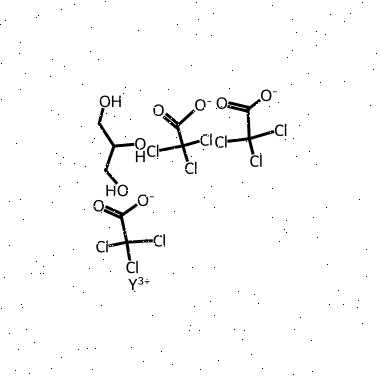 O=C([O-])C(Cl)(Cl)Cl.O=C([O-])C(Cl)(Cl)Cl.O=C([O-])C(Cl)(Cl)Cl.OCC(O)CO.[Y+3]